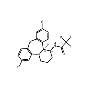 O=C(N[C@H]1CCCN2c3cc(Cl)ccc3Oc3cc(F)ccc3[C@@H]12)C(F)(F)F